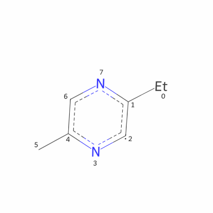 CCc1[c]nc(C)cn1